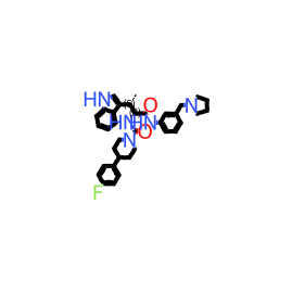 C[C@@H](c1c[nH]c2ccccc12)[C@@H](NC(=O)N1CCC(c2ccc(F)cc2)CC1)C(=O)Nc1cccc(CN2CCCC2)c1